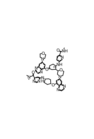 CNC(=O)c1ccc(N[C@@H]2CC[C@H](Oc3cc(N4CCOCC4)cc4nccnc34)CC2C2CN(c3cc(O[C@H]4CC[C@@H](Nc5cc(C(=O)N(C)C)ncn5)CC4)c4nccnc4c3)CCO2)cn1